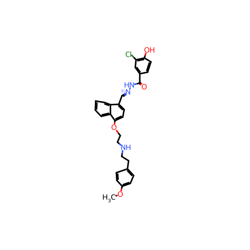 COc1ccc(CCNCCOc2ccc(/C=N/NC(=O)c3ccc(O)c(Cl)c3)c3ccccc23)cc1